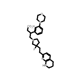 O=C(O)CC(CN1CCC(F)(CCc2ccc3c(n2)NCCC3)C1)c1cccc(N2CCOCC2)c1